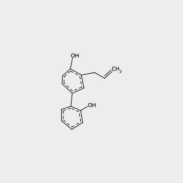 C=CCc1cc(-c2ccccc2O)ccc1O